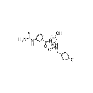 NC(=S)Nc1cccc(C(=O)N2C[C@H](O)C[C@H]2C(=O)NCc2ccc(Cl)cc2)c1